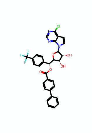 O=C(O[C@H](c1ccc(C(F)(F)F)cc1)[C@H]1O[C@@H](n2ccc3c(Cl)ncnc32)[C@H](O)[C@@H]1O)c1ccc(-c2ccccc2)cc1